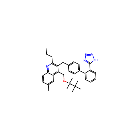 CCCc1nc2ccc(C)cc2c(CO[Si](C)(C)C(C)(C)C)c1Cc1ccc(-c2ccccc2-c2nnn[nH]2)cc1